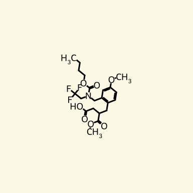 CCCCOC(=O)N(Cc1cc(OC)ccc1CC(CC(=O)O)C(=O)OC)CC(F)(F)F